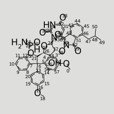 COc1ccc(C(c2ccccc2)(c2ccc(OC)cc2)C(OP(N)O)[C@H]2O[C@@H](n3ccc(=O)[nH]c3=O)[C@H](ON3C(=O)c4cccc(CC(C)C)c4C3=O)[C@@H]2O)cc1